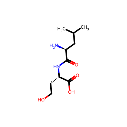 CC(C)C[C@H](N)C(=O)N[C@@H](CCO)C(=O)O